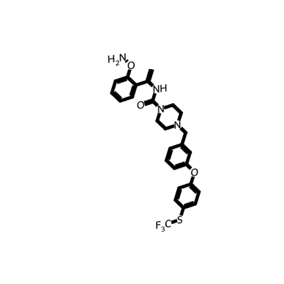 C=C(NC(=O)N1CCN(Cc2cccc(Oc3ccc(SC(F)(F)F)cc3)c2)CC1)c1ccccc1ON